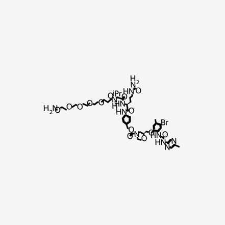 Cc1cnc(NC(=O)Nc2cc(Br)c(C)cc2OC[C@@H]2CN(C(=O)OCc3ccc(NC(=O)[C@H](CCCNC(N)=O)NC(=O)[C@@H](NC(=O)CCOCCOCCOCCOCCON)C(C)C)cc3)CCO2)cn1